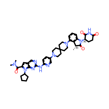 C[C@H]1C(=O)N([C@@H]2CCC(=O)NC2=O)c2cccc(N3CCC4(CCN(c5ccc(Nc6ncc7cc(C(=O)N(C)C)n(C8CCCC8)c7n6)nc5)CC4)CC3)c21